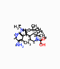 Cc1c(N)cnc2c1c(C1CCN(C(=O)O)C(C)(C)[C@H]1C(C)(C)C)cn2C